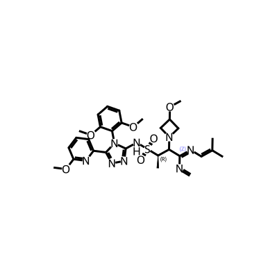 C=N/C(=N\C=C(C)C)C([C@@H](C)S(=O)(=O)Nc1nnc(-c2cccc(OC)n2)n1-c1c(OC)cccc1OC)N1CC(OC)C1